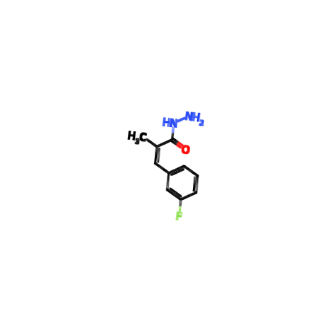 CC(=Cc1cccc(F)c1)C(=O)NN